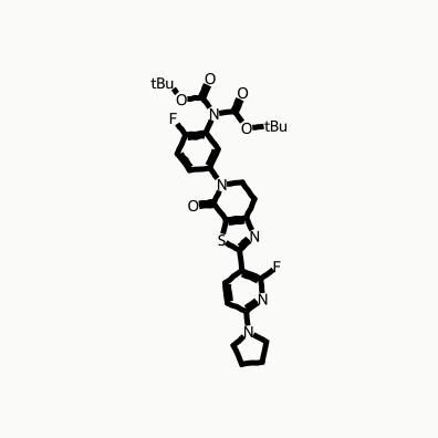 CC(C)(C)OC(=O)N(C(=O)OC(C)(C)C)c1cc(N2CCc3nc(-c4ccc(N5CCCC5)nc4F)sc3C2=O)ccc1F